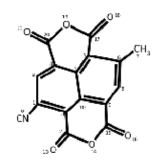 [C-]#[N+]c1cc2c3c(c(C)cc4c3c1C(=O)OC4=O)C(=O)OC2=O